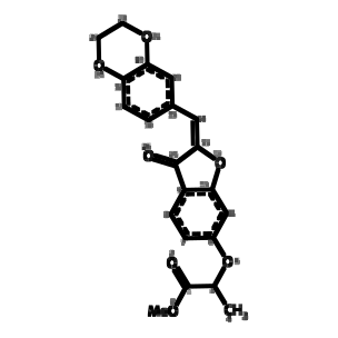 COC(=O)C(C)Oc1ccc2c(c1)OC(=Cc1ccc3c(c1)OCCO3)C2=O